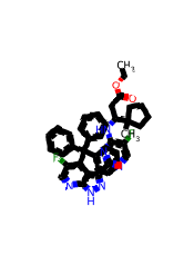 CCOC(=O)CC(Nc1nc(-c2n[nH]c3ncc(F)c(C(c4ccccc4)(c4ccccc4)c4ccccc4)c23)ncc1F)C1(C)CCCC1